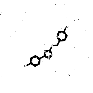 CC(=O)c1ccc(CSc2nnc(-c3ccc(Cl)cc3)o2)nc1